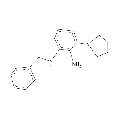 Nc1c(NCc2ccccc2)cccc1N1CCCC1